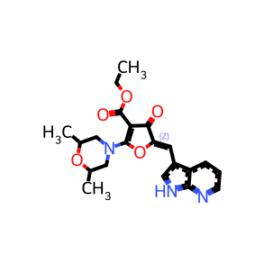 CCOC(=O)C1=C(N2CC(C)OC(C)C2)O/C(=C\c2c[nH]c3ncccc23)C1=O